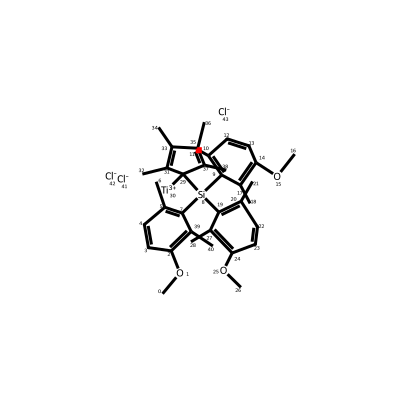 COc1ccc(C)c([Si](c2c(C)ccc(OC)c2C)(c2c(C)ccc(OC)c2C)[C]2([Ti+3])C(C)=C(C)C(C)=C2C)c1C.[Cl-].[Cl-].[Cl-]